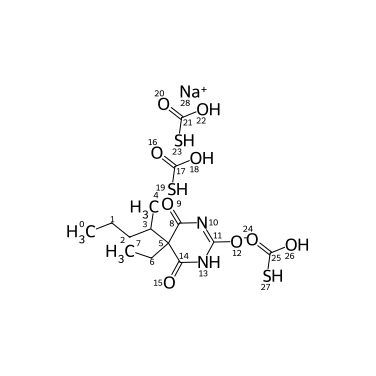 CCCC(C)C1(CC)C(=O)N=C([O-])NC1=O.O=C(O)S.O=C(O)S.O=C(O)S.[Na+]